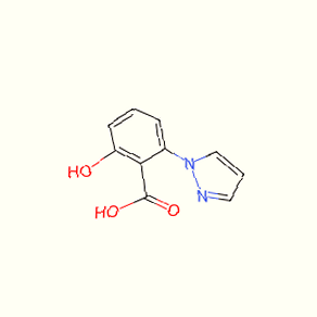 O=C(O)c1c(O)cccc1-n1cccn1